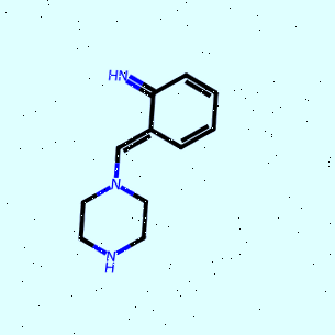 N=C1C=CC=C/C1=C\N1CCNCC1